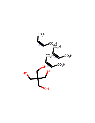 O=C(O)/C=C\C(=O)O.O=C(O)/C=C\C(=O)O.O=C(O)/C=C\C(=O)O.OCC(CO)(CO)CO